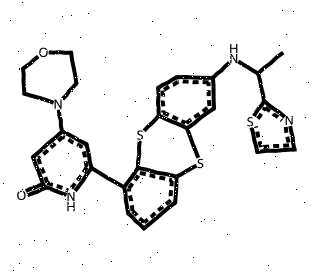 CC(Nc1ccc2c(c1)Sc1cccc(-c3cc(N4CCOCC4)cc(=O)[nH]3)c1S2)c1nccs1